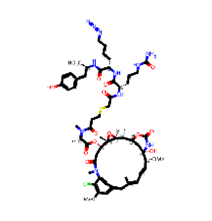 COc1cc2cc(c1Cl)N(C)C(=O)C[C@H](OC(=O)[C@H](C)N(C)C(=O)CCSCC(=O)N[C@@H](CCCNC(N)=O)C(=O)N[C@@H](CCCCN=[N+]=[N-])C(=O)N[C@@H](Cc1ccc(O)cc1)C(=O)O)[C@]1(C)O[C@H]1[C@H](C)[C@@H]1C[C@@](O)(NC(=O)O1)[C@H](OC)/C=C/C=C(\C)C2